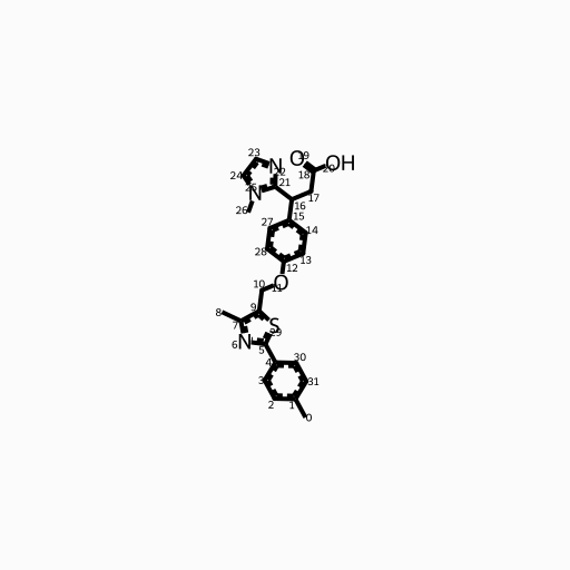 Cc1ccc(-c2nc(C)c(COc3ccc(C(CC(=O)O)c4nccn4C)cc3)s2)cc1